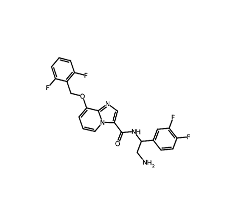 NCC(NC(=O)c1cnc2c(OCc3c(F)cccc3F)cccn12)c1ccc(F)c(F)c1